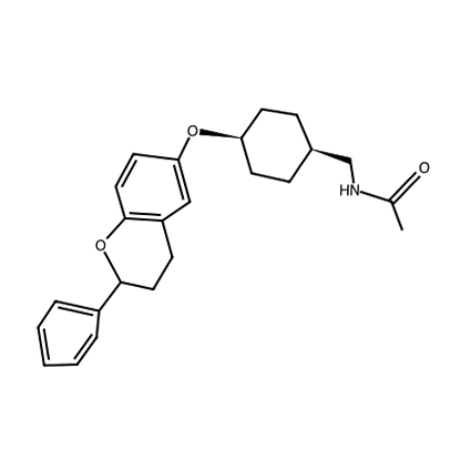 CC(=O)NC[C@H]1CC[C@@H](Oc2ccc3c(c2)CCC(c2ccccc2)O3)CC1